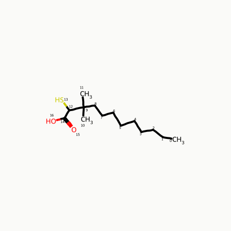 CCCCCCCCCC(C)(C)C(S)C(=O)O